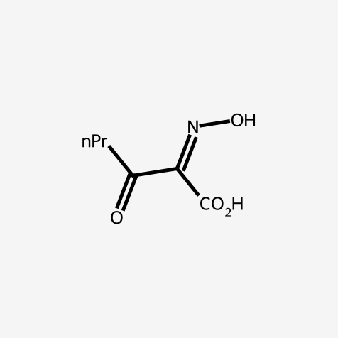 CCCC(=O)/C(=N/O)C(=O)O